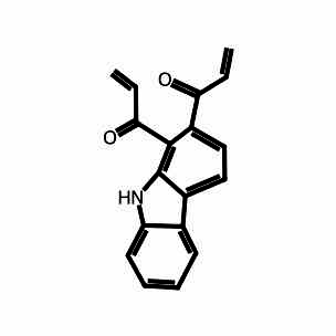 C=CC(=O)c1ccc2c([nH]c3ccccc32)c1C(=O)C=C